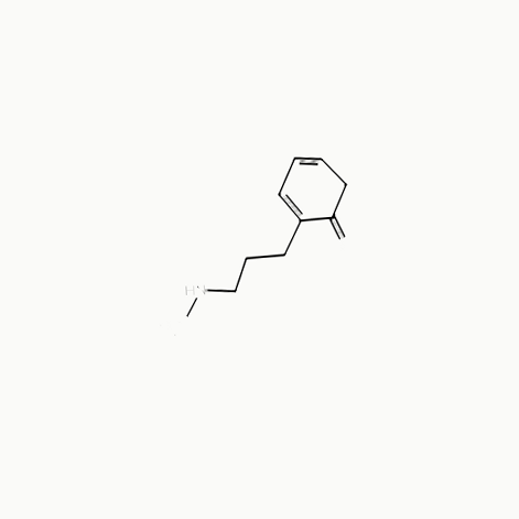 O=C(O)NCCCC1=CC=CCC1=O